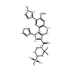 COc1cc2c(cc1-c1ccn(C)n1)-c1c(c(C(=O)N3CCC(S(C)(=O)=O)CC3(C)C)nn1-c1ccsc1)CO2